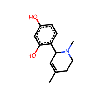 CC1=CC(c2ccc(O)cc2O)N(C)CC1